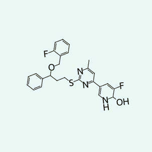 Cc1cc(C2=CNC(O)C(F)=C2)nc(SCCC(OCc2ccccc2F)c2ccccc2)n1